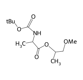 COCC(C)OC(=O)C(C)NC(=O)OC(C)(C)C